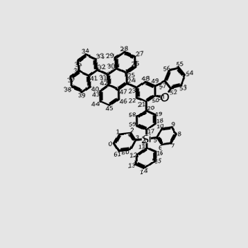 c1ccc([Si](c2ccccc2)(c2ccccc2)c2ccc(-c3cc(-c4c5ccccc5c(-c5cccc6ccccc56)c5ccccc45)cc4c3oc3ccccc34)cc2)cc1